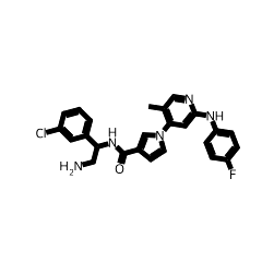 Cc1cnc(Nc2ccc(F)cc2)cc1-n1ccc(C(=O)NC(CN)c2cccc(Cl)c2)c1